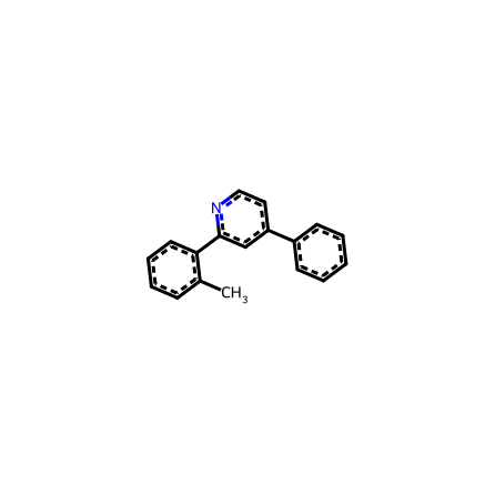 Cc1ccccc1-c1cc(-c2ccccc2)ccn1